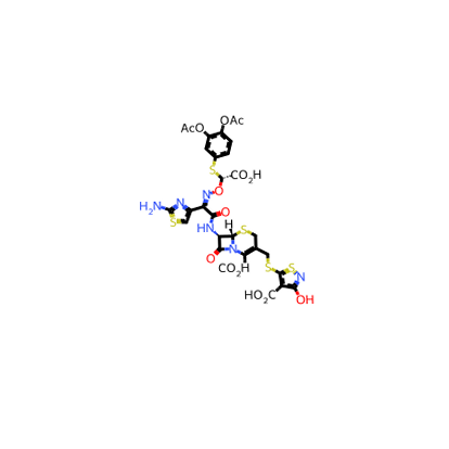 CC(=O)Oc1ccc(S[C@@H](O/N=C(\C(=O)N[C@@H]2C(=O)N3C(C(=O)O)=C(CSc4snc(O)c4C(=O)O)CS[C@@H]23)c2csc(N)n2)C(=O)O)cc1OC(C)=O